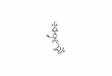 N#CCC1CN(c2ncc(C(F)(F)F)cn2)CCN1C(=O)OCCc1c[nH]c(=O)c(C(F)(F)F)c1